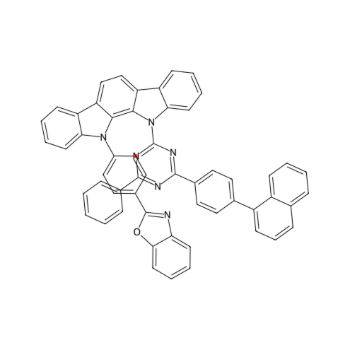 c1ccc(-c2nc(-c3ccc(-c4cccc5ccccc45)cc3)nc(-n3c4ccccc4c4ccc5c6ccccc6n(-c6ccc(-c7nc8ccccc8o7)cc6)c5c43)n2)cc1